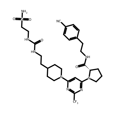 N#Cc1ccc(CCNC(=O)[C@@H]2CCCN2c2cc(N3CCC(CCNC(=O)NCCS(N)(=O)=O)CC3)nc(C(F)(F)F)n2)cc1